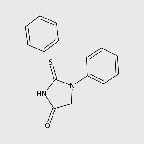 O=C1CN(c2ccccc2)C(=S)N1.c1ccccc1